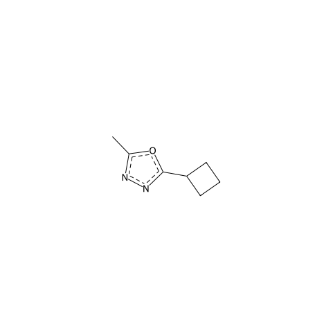 Cc1nnc(C2CCC2)o1